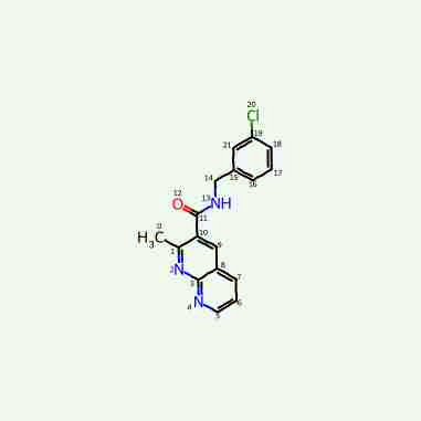 Cc1nc2ncccc2cc1C(=O)NCc1cccc(Cl)c1